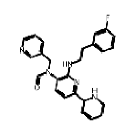 O=CN(Cc1cccnc1)c1ccc(C2C=CCCN2)nc1NCCc1cccc(F)c1